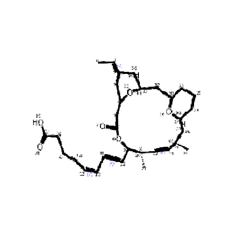 C/C=C1\CC2CC(=O)OC(/C=C/C=C\CCCC(=O)O)[C@@H](C)/C=C/[C@H](C)C[C@H]3CCCC(C[C@@H](C1)O2)O3